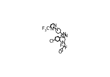 FC(F)(F)c1ccnc(N2CCC(c3nnc4n3-c3ccc(Cl)cc3CN(CC(F)(F)C3COC3)C4)CC2)n1